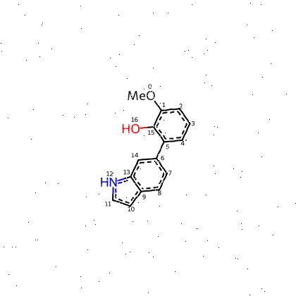 COc1cc[c]c(-c2ccc3cc[nH]c3c2)c1O